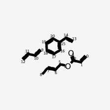 C=CC(=O)OCC=CC.C=CC=C.C=Cc1ccccc1